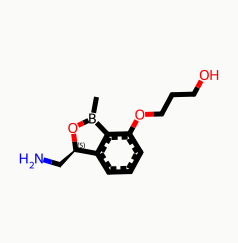 CB1O[C@H](CN)c2cccc(OCCCO)c21